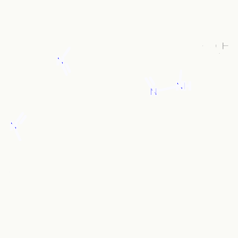 O=C(O)c1cc(-c2ccnc(-c3cnc4ccccc4c3)c2)n[nH]1